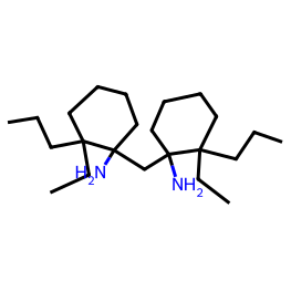 CCCC1(CC)CCCCC1(N)CC1(N)CCCCC1(CC)CCC